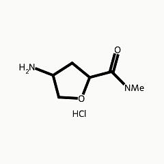 CNC(=O)C1CC(N)CO1.Cl